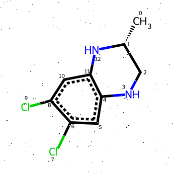 C[C@@H]1CNc2cc(Cl)c(Cl)cc2N1